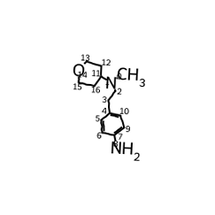 CN(CCc1ccc(N)cc1)C1CCOCC1